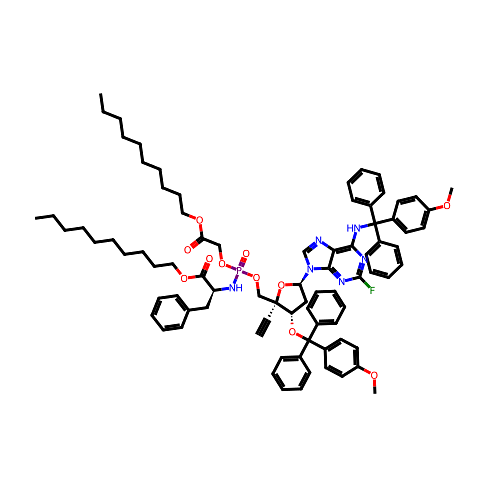 C#C[C@]1(COP(=O)(N[C@@H](Cc2ccccc2)C(=O)OCCCCCCCCCC)OCC(=O)OCCCCCCCCCC)O[C@@H](n2cnc3c(NC(c4ccccc4)(c4ccccc4)c4ccc(OC)cc4)nc(F)nc32)C[C@@H]1OC(c1ccccc1)(c1ccccc1)c1ccc(OC)cc1